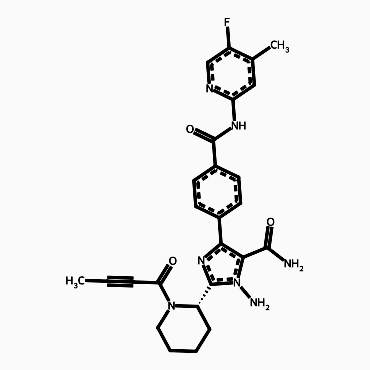 CC#CC(=O)N1CCCC[C@H]1c1nc(-c2ccc(C(=O)Nc3cc(C)c(F)cn3)cc2)c(C(N)=O)n1N